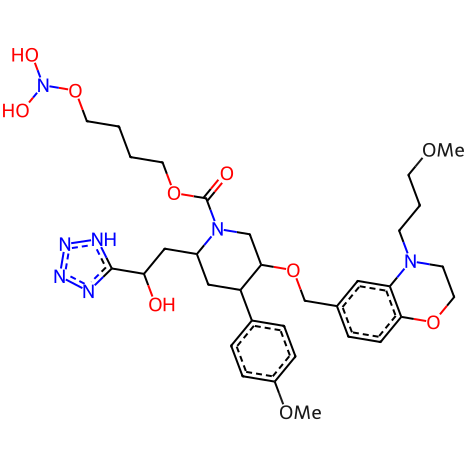 COCCCN1CCOc2ccc(COC3CN(C(=O)OCCCCON(O)O)C(CC(O)c4nnn[nH]4)CC3c3ccc(OC)cc3)cc21